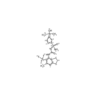 Cc1nc2c(c(NC(=O)N=S(N)(=O)c3cc(C(C)(C)O)cs3)c1C(F)(F)F)CCC2